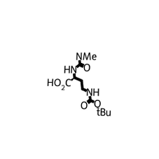 CNC(=O)N[C@@H](CCNC(=O)OC(C)(C)C)C(=O)O